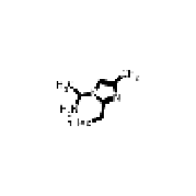 CCCCCCCc1nc(C)cn1C(C)N